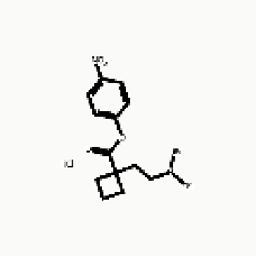 CC(C)N(CCC1(C(=O)Oc2ccc([N+](=O)[O-])cc2)CCC1)C(C)C.Cl